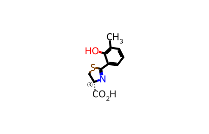 Cc1cccc(C2=N[C@H](C(=O)O)CS2)c1O